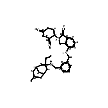 CCC1(NCc2cccc(CSc3cccc4c3CN(C3CCC(=O)NC3=O)C4=O)c2)CC2CC(C)CC(C2)C1